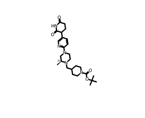 C[C@H]1CN(c2ccc(C3CCC(=O)NC3=O)cn2)CCN1CC1CCN(C(=O)OC(C)(C)C)CC1